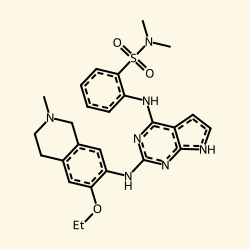 CCOc1cc2c(cc1Nc1nc(Nc3ccccc3S(=O)(=O)N(C)C)c3cc[nH]c3n1)CN(C)CC2